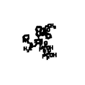 CCN(c1cccc2cc(-c3ncc(CN(C)CCc4ccccn4)s3)[nH]c12)S(=O)(=O)c1cccs1.O=C(O)C(F)(F)F.O=C(O)C(F)(F)F